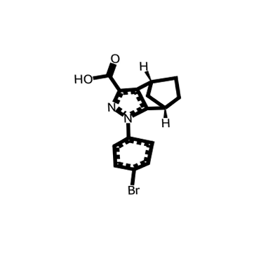 O=C(O)c1nn(-c2ccc(Br)cc2)c2c1[C@@H]1CC[C@H]2C1